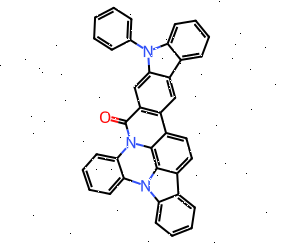 O=c1c2cc3c(cc2c2ccc4c5ccccc5n5c6ccccc6n1c2c45)c1ccccc1n3-c1ccccc1